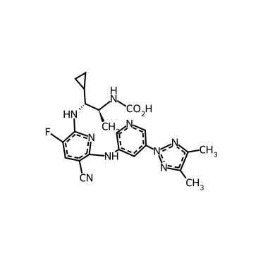 Cc1nn(-c2cncc(Nc3nc(N[C@H](C4CC4)[C@H](C)NC(=O)O)c(F)cc3C#N)c2)nc1C